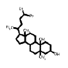 CCC(CCC(C)C1CCC2C3CCC4(C)CC(O)CCC4(C)C3CCC12C)C(C)C